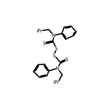 CC(C)CN(C(=S)SSC(=S)N(CC(C)C)c1ccccc1)c1ccccc1